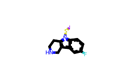 Fc1ccc2c(c1)c1c(n2SI)CCNC1